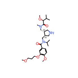 COCCCOc1cc(C(=O)N(C[C@@H]2CNC[C@H]2CN(C)C(=O)C(OC)C(C)C)C(C)C)ccc1OC